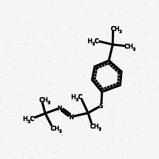 CC(C)(C)N=NC(C)(C)Sc1ccc(C(C)(C)C)cc1